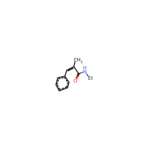 CCNC(=O)C(C)=Cc1ccccc1